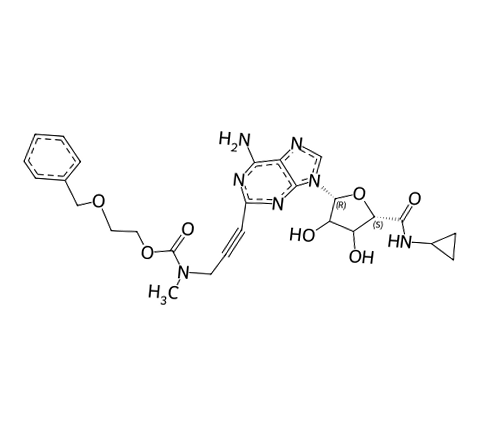 CN(CC#Cc1nc(N)c2ncn([C@@H]3O[C@H](C(=O)NC4CC4)C(O)C3O)c2n1)C(=O)OCCOCc1ccccc1